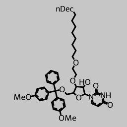 CCCCCCCCCCCCCCCCCCOCCOC1C(COC(c2ccccc2)(c2ccc(OC)cc2)c2ccc(OC)cc2)OC(n2ccc(=O)[nH]c2=O)C1O